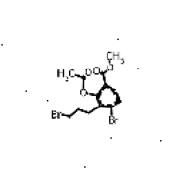 COC(=O)c1ccc(Br)c(CCCBr)c1OC(C)=O